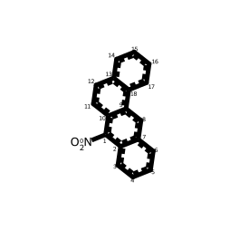 O=[N+]([O-])c1c2ccccc2cc2c1ccc1ccccc12